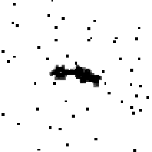 Cc1ccc(C#Cc2ccc(S(=O)(=O)N=CN(C)C)s2)cc1